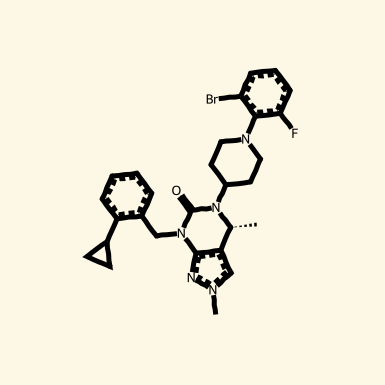 C[C@@H]1c2cn(C)nc2N(Cc2ccccc2C2CC2)C(=O)N1C1CCN(c2c(F)cccc2Br)CC1